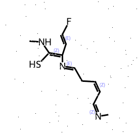 C/N=C\C=C/C/C=N/C(/C=C/F)=C(\S)NC